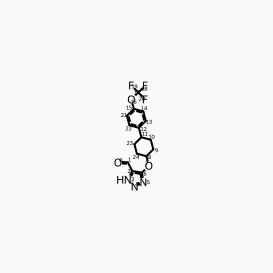 O=Cc1[nH]nnc1OC1CCC(c2ccc(OC(F)(F)F)cc2)CC1